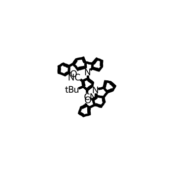 CC(C)(C)c1c(C#N)c(-n2c3ccccc3c3ccc4c5ccccc5oc4c32)cc(-n2c3ccccc3c3ccc4c5ccccc5oc4c32)c1C#N